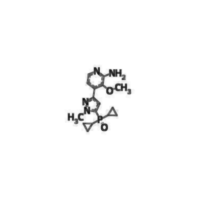 COc1c(-c2cc(P(=O)(C3CC3)C3CC3)n(C)n2)ccnc1N